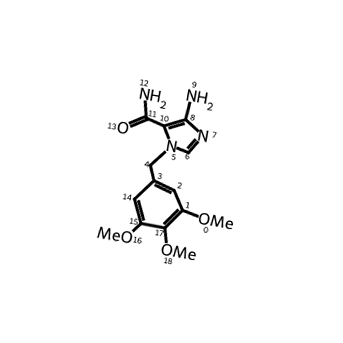 COc1cc(Cn2cnc(N)c2C(N)=O)cc(OC)c1OC